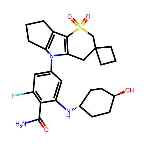 NC(=O)c1c(F)cc(-n2c3c(c4c2CC2(CCC2)CS4(=O)=O)CCC3)cc1N[C@H]1CC[C@H](O)CC1